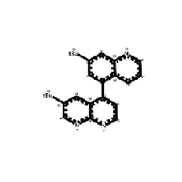 CC(C)(C)c1cc(-c2ccnc3ncc(C(C)(C)C)cc23)c2cccnc2c1